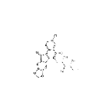 CC[C@@H](O)[C@@H](O)[C@@H](O)Cn1c2c(c3ccc(Cl)cc3c1=O)C(=O)c1cc3c(cc1-2)OCO3